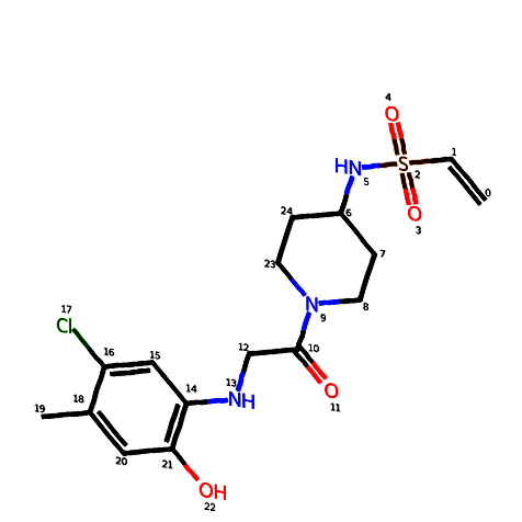 C=CS(=O)(=O)NC1CCN(C(=O)CNc2cc(Cl)c(C)cc2O)CC1